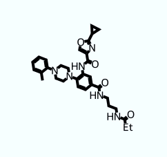 CCC(=O)NCCCNC(=O)c1ccc(N2CCN(c3ccccc3C)CC2)c(NC(=O)c2coc(C3CC3)n2)c1